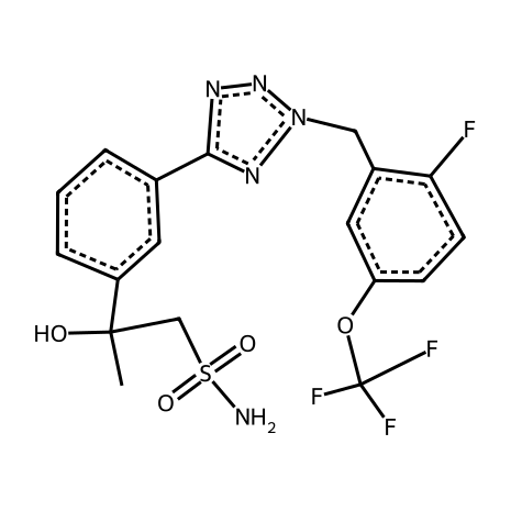 CC(O)(CS(N)(=O)=O)c1cccc(-c2nnn(Cc3cc(OC(F)(F)F)ccc3F)n2)c1